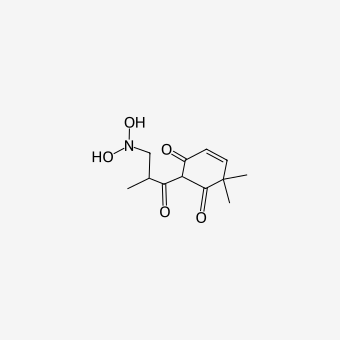 CC(CN(O)O)C(=O)C1C(=O)C=CC(C)(C)C1=O